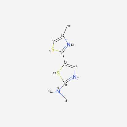 Cc1csc(-c2cnc(N(C)C)s2)n1